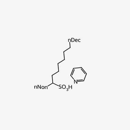 CCCCCCCCCCCCCCCCC(CCCCCCCCC)S(=O)(=O)O.c1ccncc1